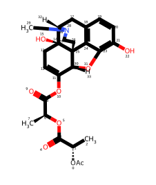 CC(=O)O[C@@H](C)C(=O)O[C@@H](C)C(=O)OC1=CC[C@]2(O)[C@@H]3Cc4ccc(O)c5c4[C@]2(CCN3C)[C@@H]1O5